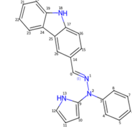 C(=N\N(c1ccccc1)c1ccc[nH]1)/c1ccc2[nH]c3ccccc3c2c1